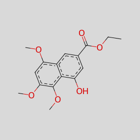 CCOC(=O)c1cc(O)c2c(OC)c(OC)cc(OC)c2c1